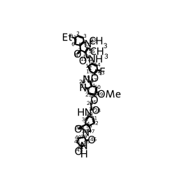 CCc1ccc2c(c1)c(=O)c(C(=O)Nc1ccc(Oc3ncnc4cc(OCC(=O)Nc5ccc6c(c5)C(=O)N(C5CCC(=O)NC5=O)C6)c(OC)cc34)c(F)c1)c(C)n2C